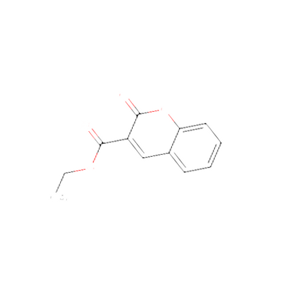 CC(=O)OCOC(=O)c1cc2ccccc2oc1=O